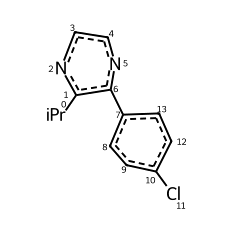 CC(C)c1nccnc1-c1ccc(Cl)cc1